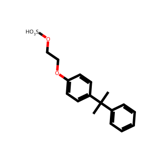 CC(C)(c1ccccc1)c1ccc(OCCOS(=O)(=O)O)cc1